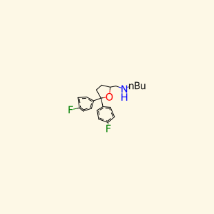 CCCCNCC1CCC(c2ccc(F)cc2)(c2ccc(F)cc2)O1